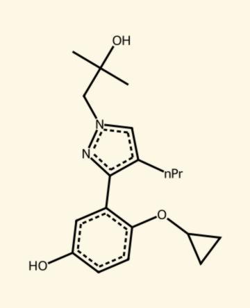 CCCc1cn(CC(C)(C)O)nc1-c1cc(O)ccc1OC1CC1